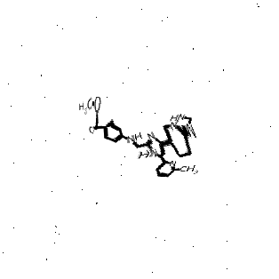 COC(=O)c1ccc(NCc2nc(C3=CN4NCN=C4C=C3)c(-c3cccc(C)n3)[nH]2)cc1